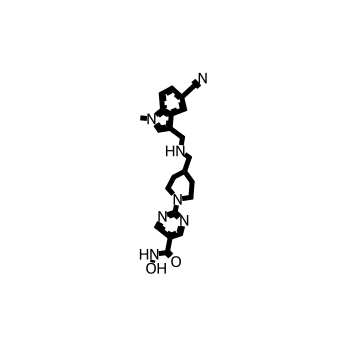 Cn1cc(CNCC2CCN(c3ncc(C(=O)NO)cn3)CC2)c2cc(C#N)ccc21